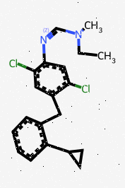 CCN(C)/C=N\c1cc(Cl)c(Cc2ccccc2C2CC2)cc1Cl